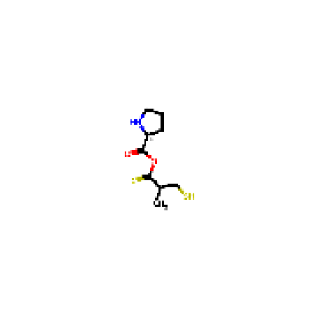 CC(CS)C(=S)OC(=O)[C@@H]1CCCN1